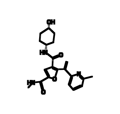 C=C(c1cccc(C)n1)c1oc(C(=O)NC)cc1C(=O)N[C@H]1CC[C@@H](O)CC1